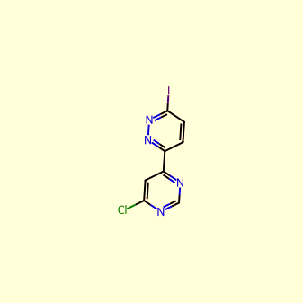 Clc1cc(-c2ccc(I)nn2)ncn1